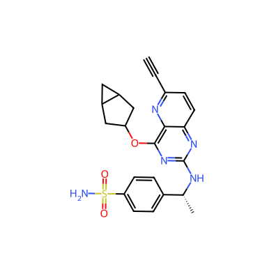 C#Cc1ccc2nc(N[C@H](C)c3ccc(S(N)(=O)=O)cc3)nc(OC3CC4CC4C3)c2n1